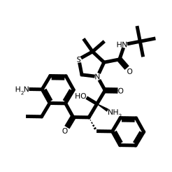 CCc1c(N)cccc1C(=O)[C@@H](Cc1ccccc1)[C@](N)(O)C(=O)N1CSC(C)(C)C1C(=O)NC(C)(C)C